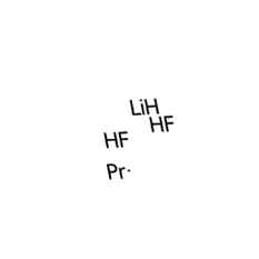 F.F.[LiH].[Pr]